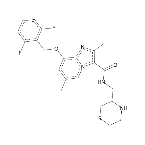 Cc1cc(OCc2c(F)cccc2F)c2nc(C)c(C(=O)NCC3CSCCN3)n2c1